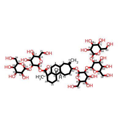 C=C1CC2CCC3[C@](C)(C(=O)OC4OC(CO)C(O)C(O)C4OC4OC(CO)C(O)C(O)C4O)CCC[C@@]3(C)[C@@H]2CCC1OC1OC(CO)C(O)C(O)C1OC1OC(CO)C(O)C(O)C1OC1OC(CO)C(O)C(O)C1O